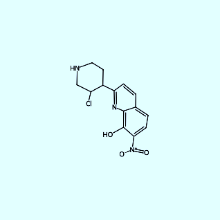 O=[N+]([O-])c1ccc2ccc(C3CCNCC3Cl)nc2c1O